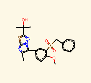 COc1ccc(-c2c(C)nc3sc(C(C)(C)O)nn23)cc1S(=O)(=O)Cc1ccccc1